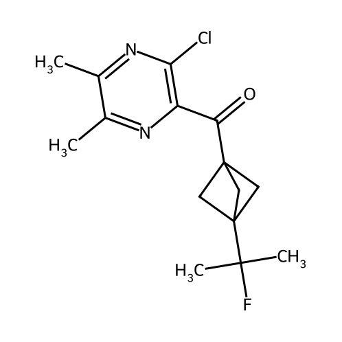 Cc1nc(Cl)c(C(=O)C23CC(C(C)(C)F)(C2)C3)nc1C